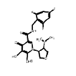 CN(C)C1COCC1n1cc(C(=O)NCc2c(F)cc(F)cc2F)c(=O)c(O)c1C=O